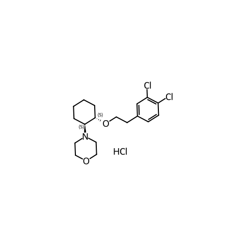 Cl.Clc1ccc(CCO[C@H]2CCCC[C@@H]2N2CCOCC2)cc1Cl